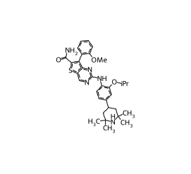 COc1ccccc1-c1c(C(N)=O)sc2cnc(Nc3ccc(C4CC(C)(C)NC(C)(C)C4)cc3OC(C)C)nc12